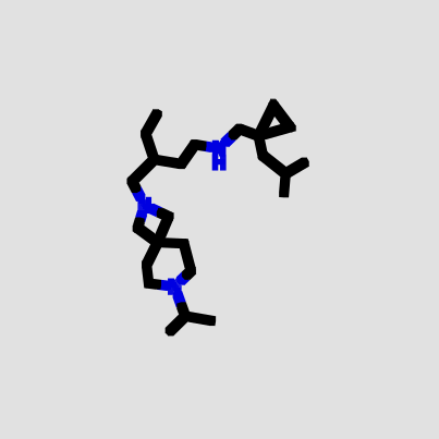 CCC(CCNCC1(CC(C)C)CC1)CN1CC2(CCN(C(C)C)CC2)C1